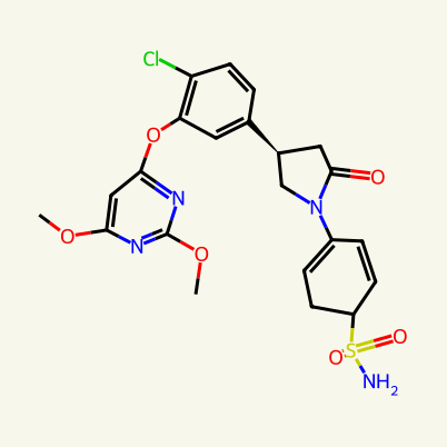 COc1cc(Oc2cc([C@H]3CC(=O)N(C4=CCC(S(N)(=O)=O)C=C4)C3)ccc2Cl)nc(OC)n1